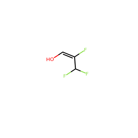 O/C=C(/F)C(F)F